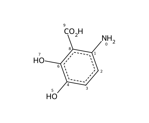 Nc1ccc(O)c(O)c1C(=O)O